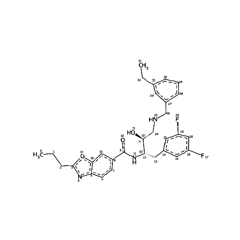 CCCc1nc2ccc(C(=O)N[C@@H](Cc3cc(F)cc(F)c3)[C@@H](O)CNCc3cccc(CC)c3)cc2o1